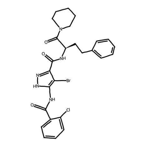 O=C(Nc1[nH]nc(C(=O)N[C@H](CCc2ccccc2)C(=O)N2CCCCC2)c1Br)c1ccccc1Cl